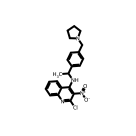 CC(Nc1c([N+](=O)[O-])c(Cl)nc2ccccc12)c1ccc(CN2CCCC2)cc1